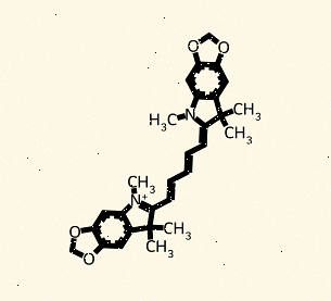 CN1\C(=C/C=C/C=C/C2=[N+](C)c3cc4c(cc3C2(C)C)OCO4)C(C)(C)c2cc3c(cc21)OCO3